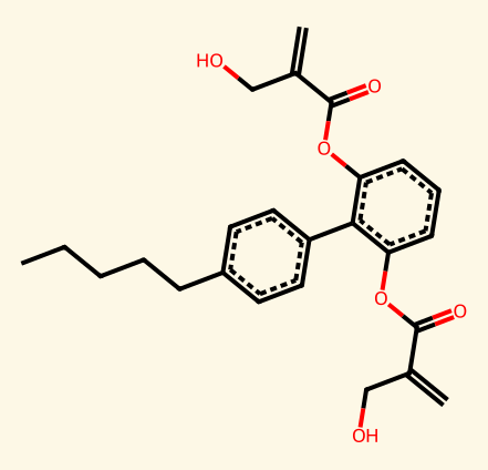 C=C(CO)C(=O)Oc1cccc(OC(=O)C(=C)CO)c1-c1ccc(CCCCC)cc1